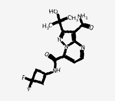 CC(C)(O)c1nn2c(C(=O)NC3CC(F)(F)C3)ccnc2c1C(N)=O